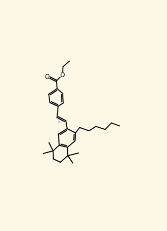 CCCCCCc1cc2c(cc1/C=C/c1ccc(C(=O)OCC)cc1)C(C)(C)CCC2(C)C